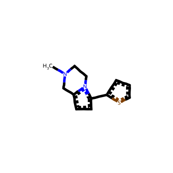 CN1CCn2c(ccc2-c2cccs2)C1